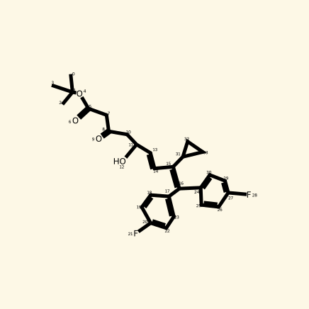 CC(C)(C)OC(=O)CC(=O)CC(O)C=CC(=C(c1ccc(F)cc1)c1ccc(F)cc1)C1CC1